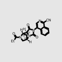 CCC(=O)N1C[C@@H]2C[C@H]1[C@H]1C(=O)N(c3cnc(C#N)c4ccccc34)C(=O)N21